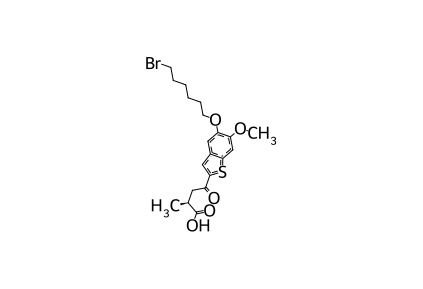 COc1cc2sc(C(=O)C[C@H](C)C(=O)O)cc2cc1OCCCCCCBr